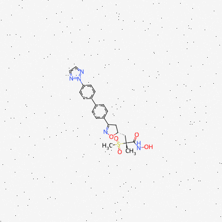 C[C@@](C[C@H]1CC(c2ccc(-c3ccc(-n4nccn4)cc3)cc2)=NO1)(C(=O)NO)S(C)(=O)=O